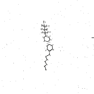 CCCCCCC[C@H]1CC[C@H](C2CCC(C(F)(F)C(F)(F)C(F)(F)F)CC2)CC1